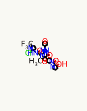 CC1OC2(CCN(C(=O)c3ncccc3O)CC2)c2c1n(CC(=O)Nc1ccc(C(F)(F)F)nc1Cl)c1nc(C3=CCOCC3)nn1c2=O